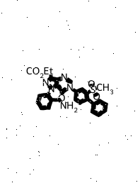 CCOC(=O)c1nn(-c2ccccc2CN)c2c(=O)n(-c3ccc(-c4ccccc4)c(S(C)(=O)=O)c3)cnc12